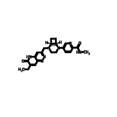 CCc1cc2nnc(CN3CCN(c4ccc(C(=O)NC)nc4)[C@@H]4CC[C@@H]43)cc2[nH]c1=O